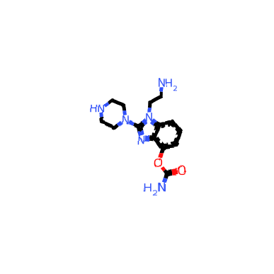 NCCn1c(N2CCNCC2)nc2c(OC(N)=O)cccc21